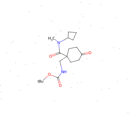 CN(C(=O)C1(CNC(=O)OC(C)(C)C)CCC(=O)CC1)C1CCC1